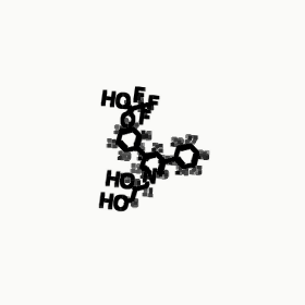 O=C(O)C(F)(F)F.OCC(O)C[n+]1cc(-c2ccccc2)cc(-c2ccccc2)c1